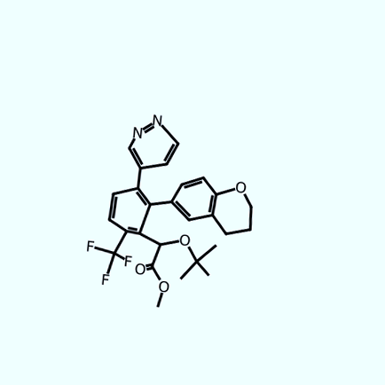 COC(=O)C(OC(C)(C)C)c1c(C(F)(F)F)ccc(-c2ccnnc2)c1-c1ccc2c(c1)CCCO2